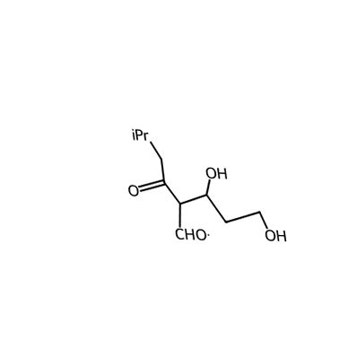 CC(C)CC(=O)C([C]=O)C(O)CCO